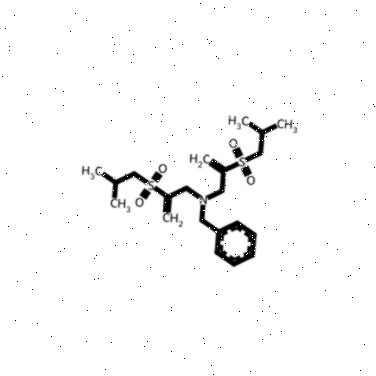 C=C(CN(CC(=C)S(=O)(=O)CC(C)C)Cc1ccccc1)S(=O)(=O)CC(C)C